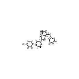 Fc1ccc(-c2cncc(-c3nc4[nH]cc(Cc5ccccc5)c4s3)c2)cc1